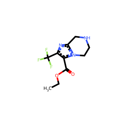 CCOC(=O)c1c(C(F)(F)F)nc2n1CCNC2